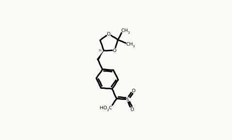 CC1(C)OC[C@H](Cc2ccc(C(C(=O)O)=S(=O)=O)cc2)O1